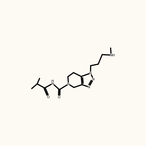 CNCCCn1nnc2c1CCN(C(=O)NC(=O)C(C)C)C2